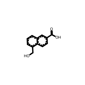 O=C(O)c1ccc2c(CO)cccc2c1